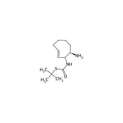 CC(C)(C)SC(=O)NC1/C=C/CCCC[C@H]1N